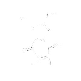 CCC1=C(C)C(=O)c2cc(OC)c(OC)cc2C1=O